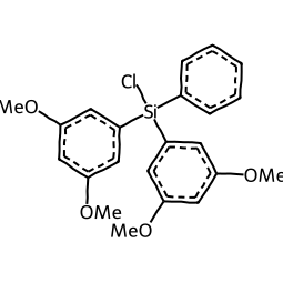 COc1cc(OC)cc([Si](Cl)(c2ccccc2)c2cc(OC)cc(OC)c2)c1